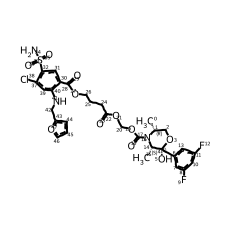 C[C@@H]1CO[C@@](O)(c2cc(F)cc(F)c2)[C@H](C)N1C(=O)OCOC(=O)CCCOC(=O)c1cc(S(N)(=O)=O)c(Cl)cc1NCc1ccco1